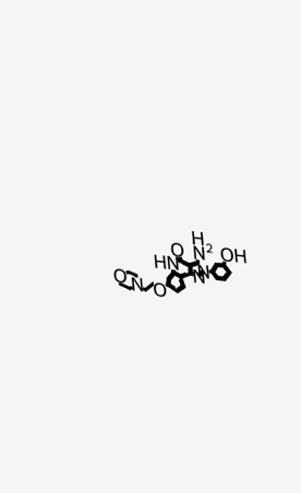 Nc1c2c(=O)[nH]c3cc(OCCN4CCOCC4)ccc3c2nn1-c1cccc(O)c1